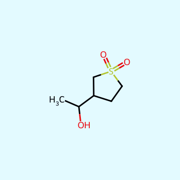 CC(O)C1CCS(=O)(=O)C1